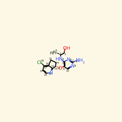 CCC[C@@H](CO)Nc1nc(N)ncc1O[C@H]1CCc2c(Cl)ccnc21